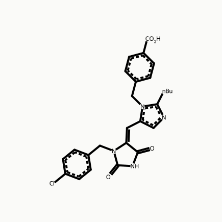 CCCCc1ncc(C=C2C(=O)NC(=O)N2Cc2ccc(Cl)cc2)n1Cc1ccc(C(=O)O)cc1